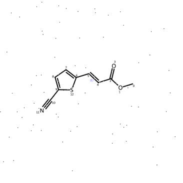 COC(=O)/C=C/c1ccc(C#N)s1